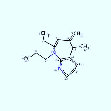 C=C1C=C(CC)N(CCC)c2ncccc2C1C